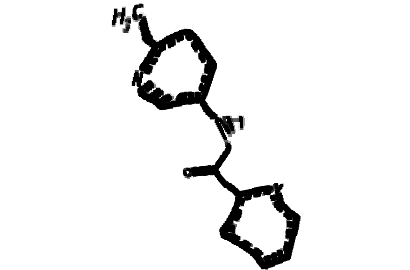 Cc1ccc(NC(=O)c2ccccn2)cn1